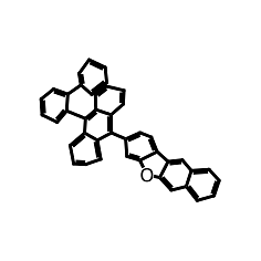 c1ccc(-c2ccccc2-c2c3ccccc3c(-c3ccc4c(c3)oc3cc5ccccc5cc34)c3ccccc23)cc1